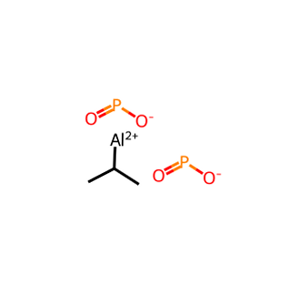 C[CH](C)[Al+2].O=P[O-].O=P[O-]